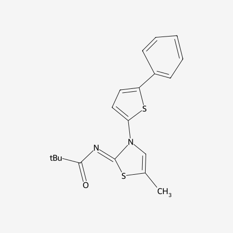 Cc1cn(-c2ccc(-c3ccccc3)s2)c(=NC(=O)C(C)(C)C)s1